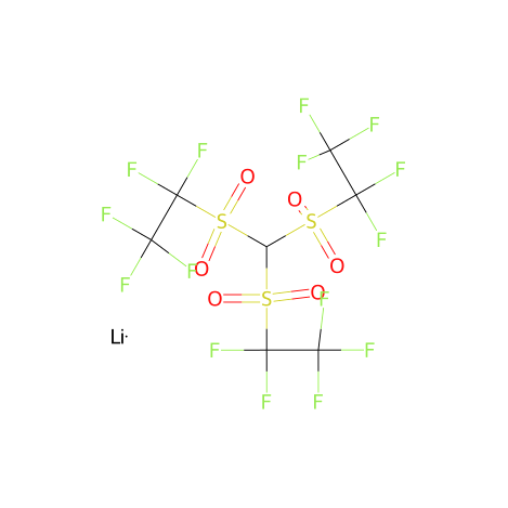 O=S(=O)(C(S(=O)(=O)C(F)(F)C(F)(F)F)S(=O)(=O)C(F)(F)C(F)(F)F)C(F)(F)C(F)(F)F.[Li]